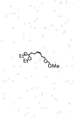 CCOC(CC/C=C\CCOCOC)OCC